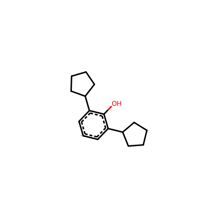 Oc1c(C2CCCC2)c[c]cc1C1CCCC1